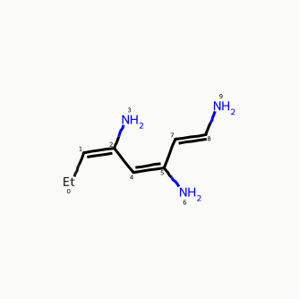 CC\C=C(N)/C=C(N)\C=C\N